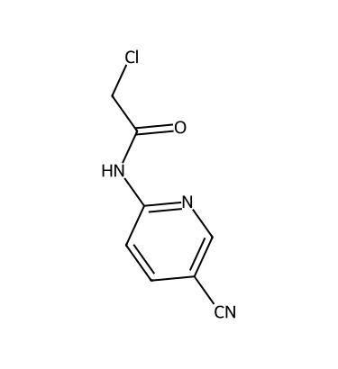 N#Cc1ccc(NC(=O)CCl)nc1